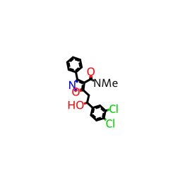 CNC(=O)c1c(-c2ccccc2)noc1CC(O)c1ccc(Cl)c(Cl)c1